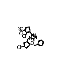 O=[N+]([O-])c1cccc(-c2nnnn2Cc2cc(Cl)ccc2OCc2ccccc2)c1Cl